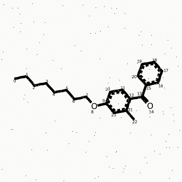 CCCCCCCCOc1ccc(C(=O)c2ccccc2)c(C)c1